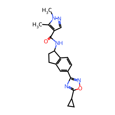 Cc1c(C(=O)NC2CCc3cc(-c4noc(C5CC5)n4)ccc32)cnn1C